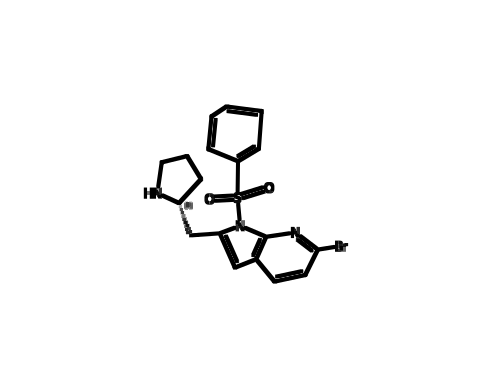 O=S(=O)(c1ccccc1)n1c(C[C@H]2CCCN2)cc2ccc(Br)nc21